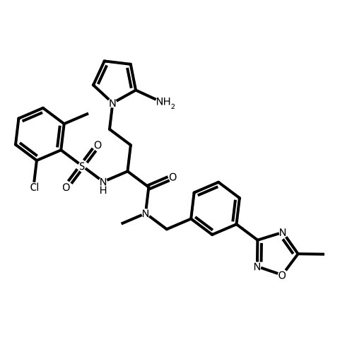 Cc1nc(-c2cccc(CN(C)C(=O)C(CCn3cccc3N)NS(=O)(=O)c3c(C)cccc3Cl)c2)no1